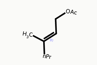 CCC/C(C)=C/COC(C)=O